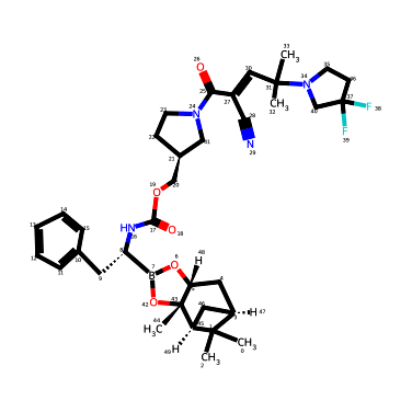 CC1(C)[C@@H]2C[C@H]3OB([C@H](Cc4ccccc4)NC(=O)OC[C@H]4CCN(C(=O)C(C#N)=CC(C)(C)N5CCC(F)(F)C5)C4)O[C@@]3(C)[C@H]1C2